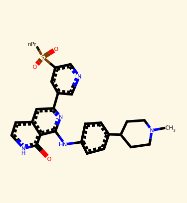 CCCS(=O)(=O)c1cncc(-c2cc3cc[nH]c(=O)c3c(Nc3ccc(C4CCN(C)CC4)cc3)n2)c1